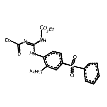 CCOC(=O)N/C(=N/C(=O)CC)Nc1ccc(S(=O)(=O)c2ccccc2)cc1NC(C)=O